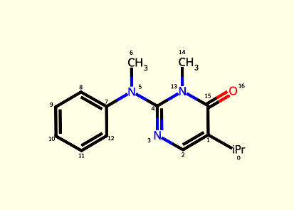 CC(C)c1cnc(N(C)c2ccccc2)n(C)c1=O